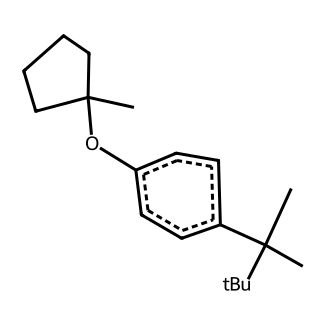 CC1(Oc2ccc(C(C)(C)C(C)(C)C)cc2)CCCC1